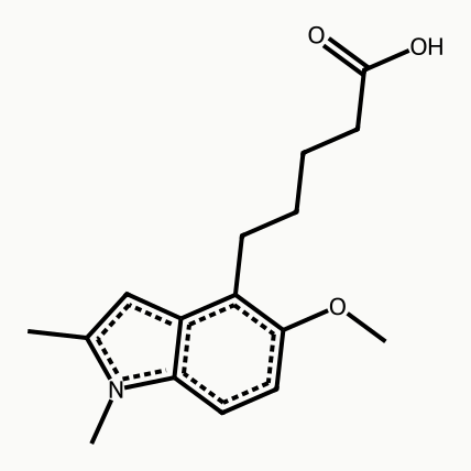 COc1ccc2c(cc(C)n2C)c1CCCCC(=O)O